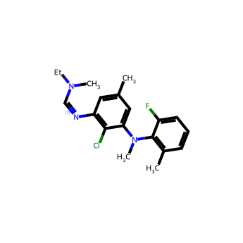 CCN(C)/C=N\c1cc(C)cc(N(C)c2c(C)cccc2F)c1Cl